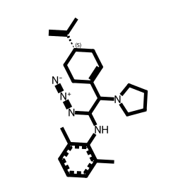 C=C(C)[C@@H]1CC=C(C(C(N=[N+]=[N-])Nc2c(C)cccc2C)N2CCCC2)CC1